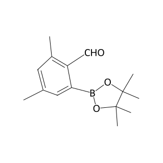 Cc1cc(C)c(C=O)c(B2OC(C)(C)C(C)(C)O2)c1